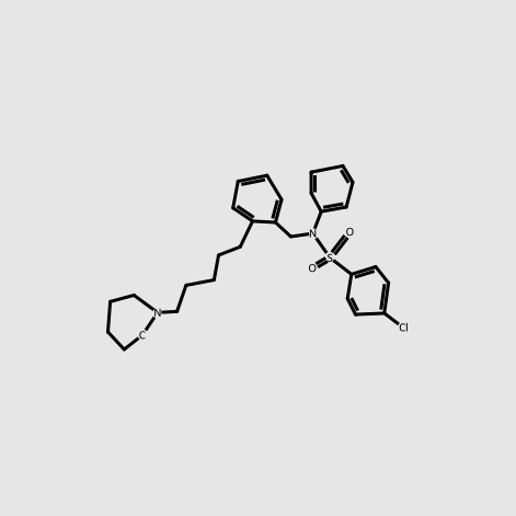 O=S(=O)(c1ccc(Cl)cc1)N(Cc1ccccc1CCCCCN1CCCCC1)c1ccccc1